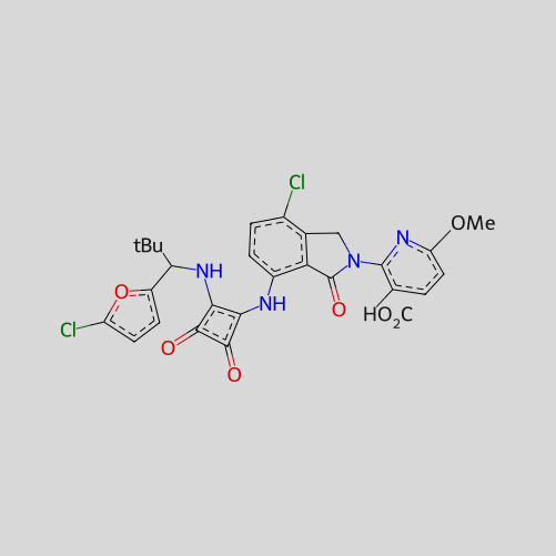 COc1ccc(C(=O)O)c(N2Cc3c(Cl)ccc(Nc4c(NC(c5ccc(Cl)o5)C(C)(C)C)c(=O)c4=O)c3C2=O)n1